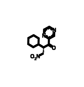 O=C(c1cnccn1)[C@H](C[N+](=O)[O-])C1CCCCC1